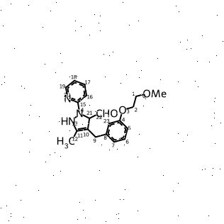 COCCOc1cccc(CC2=C(C)NN(c3ccccn3)C2C=O)c1